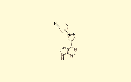 CC[C@@H](CC#N)n1cc(-c2ncnc3[nH]ccc23)cn1